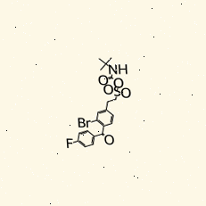 CC(C)(C)NC(=O)OS(=O)(=O)CCc1ccc(C(=O)c2ccc(F)cc2)c(Br)c1